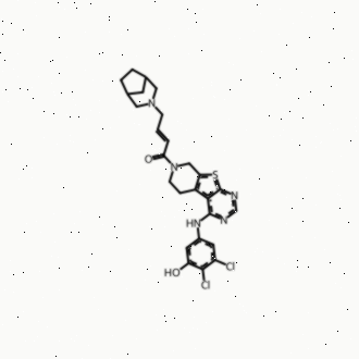 O=C(C=CCN1CC2CCC(C2)C1)N1CCc2c(sc3ncnc(Nc4cc(O)c(Cl)c(Cl)c4)c23)C1